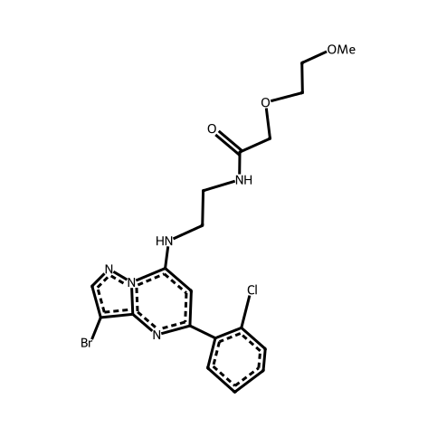 COCCOCC(=O)NCCNc1cc(-c2ccccc2Cl)nc2c(Br)cnn12